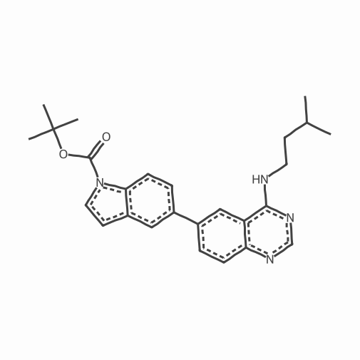 CC(C)CCNc1ncnc2ccc(-c3ccc4c(ccn4C(=O)OC(C)(C)C)c3)cc12